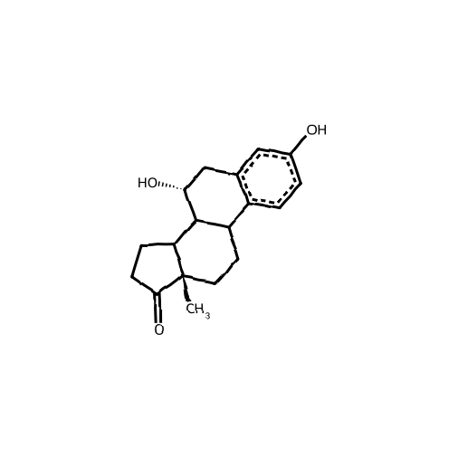 C[C@]12CCC3c4ccc(O)cc4C[C@@H](O)C3C1CCC2=O